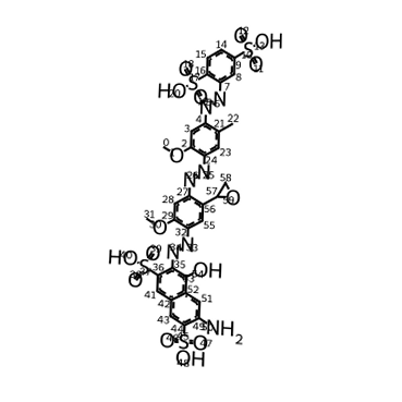 COc1cc(N=Nc2cc(S(=O)(=O)O)ccc2S(=O)(=O)O)c(C)cc1N=Nc1cc(OC)c(N=Nc2c(S(=O)(=O)O)cc3cc(S(=O)(=O)O)c(N)cc3c2O)cc1C1CO1